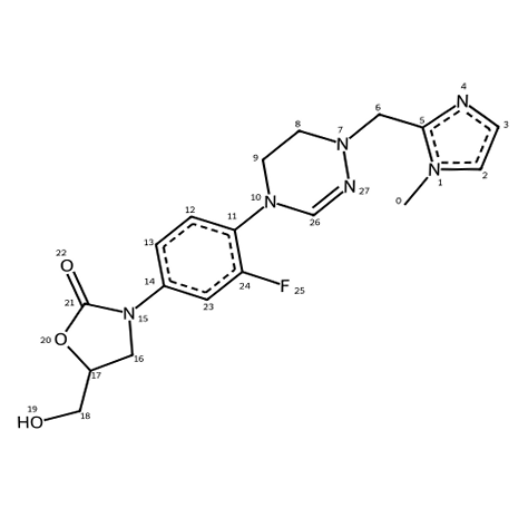 Cn1ccnc1CN1CCN(c2ccc(N3CC(CO)OC3=O)cc2F)C=N1